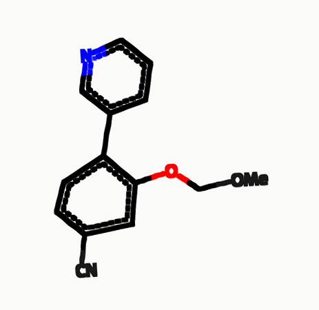 COCOc1cc(C#N)ccc1-c1cccnc1